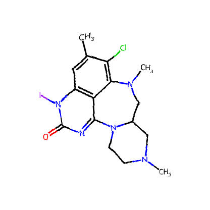 Cc1cc2c3c(nc(=O)n2I)N2CCN(C)CC2CN(C)c3c1Cl